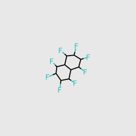 FC1C(F)C(F)C2C(F)C(F)C(F)C(F)C2C1F